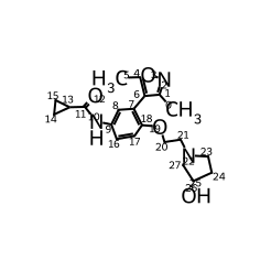 Cc1noc(C)c1-c1cc(NC(=O)C2CC2)ccc1OCCN1CC[C@H](O)C1